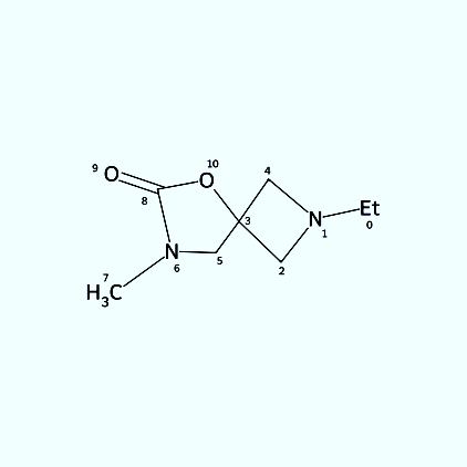 CCN1CC2(C1)CN(C)C(=O)O2